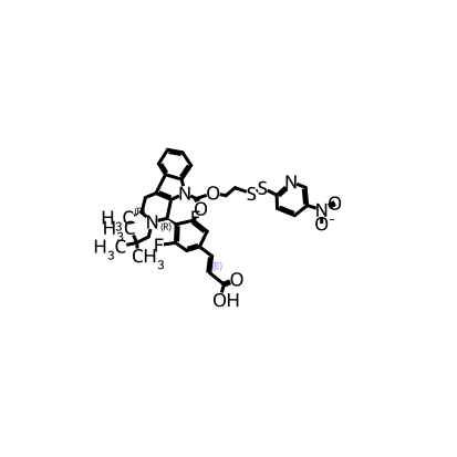 C[C@@H]1Cc2c(n(C(=O)OCCSSc3ccc([N+](=O)[O-])cn3)c3ccccc23)[C@@H](c2c(F)cc(/C=C/C(=O)O)cc2F)N1CC(C)(C)C